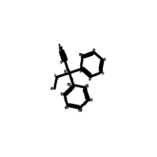 CCC(C#N)(c1ccccc1)c1ccccc1